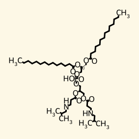 CCCCCCCCCCCCCC(=O)OC[C@H](COP(=O)(O)OCC(COC(=O)CCNCC(C)C)OC(=O)CCNCC(C)C)OC(=O)CCCCCCCCCCCCC